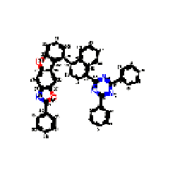 c1ccc(-c2nc(-c3ccccc3)nc(-c3ccc(-c4cccc5oc6cc7nc(-c8ccccc8)oc7cc6c45)c4ccccc34)n2)cc1